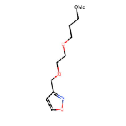 COCCCOCCOCc1ccon1